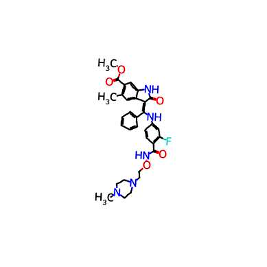 COC(=O)c1cc2c(cc1C)/C(=C(/Nc1ccc(C(=O)NOCCN3CCN(C)CC3)c(F)c1)c1ccccc1)C(=O)N2